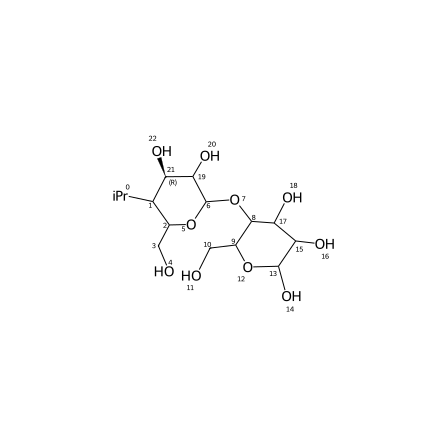 CC(C)C1C(CO)OC(OC2C(CO)OC(O)C(O)C2O)C(O)[C@@H]1O